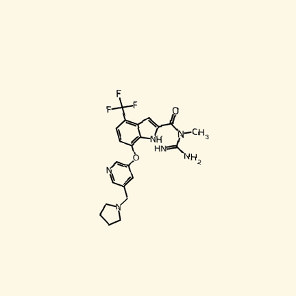 CN(C(=N)N)C(=O)c1cc2c(C(F)(F)F)ccc(Oc3cncc(CN4CCCC4)c3)c2[nH]1